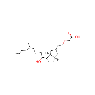 CCCCC(C)CCCC(O)[C@@H]1CC[C@H]2CC(CCOCC(=O)O)C[C@H]21